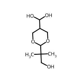 CC(C)(CO)C1OCC(C(O)O)CO1